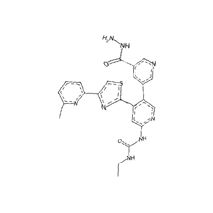 CCNC(=O)Nc1cc(-c2nc(-c3cccc(C)n3)cs2)c(-c2cncc(C(=O)NN)c2)cn1